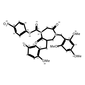 COc1cc(OC)c(CN2CC(Cc3cc(Cl)ccc3OC)C(=O)N(C(=O)Oc3ccc([N+](=O)[O-])cc3)CC2=O)c(OC)c1